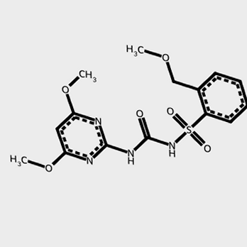 COCc1ccccc1S(=O)(=O)NC(=O)Nc1nc(OC)cc(OC)n1